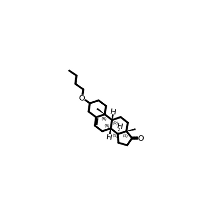 CCCCOC1CC[C@@]2(C)C(=CC[C@@H]3[C@H]2CC[C@]2(C)C(=O)CC[C@@H]32)C1